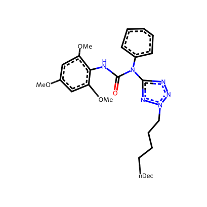 CCCCCCCCCCCCCCn1nnc(N(C(=O)Nc2c(OC)cc(OC)cc2OC)c2ccccc2)n1